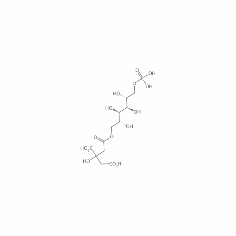 O=C(O)CC(O)(CC(=O)OC[C@@H](O)[C@@H](O)[C@H](O)[C@H](O)COP(=O)(O)O)C(=O)O